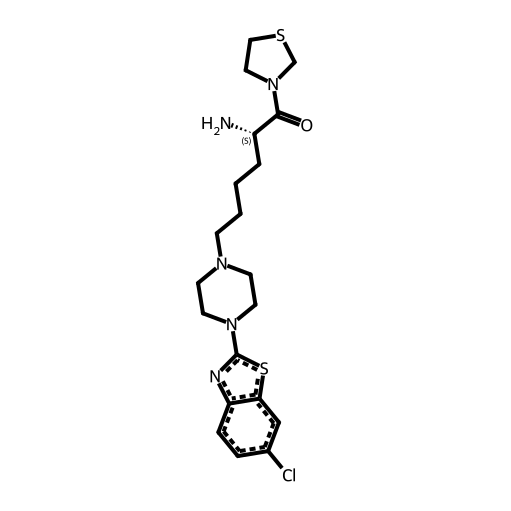 N[C@@H](CCCCN1CCN(c2nc3ccc(Cl)cc3s2)CC1)C(=O)N1CCSC1